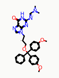 COc1ccc(C(OC[CH]Cn2cnc3c(=O)[nH]c(/N=C/N(C)C)nc32)(c2ccccc2)c2ccc(OC)cc2)cc1